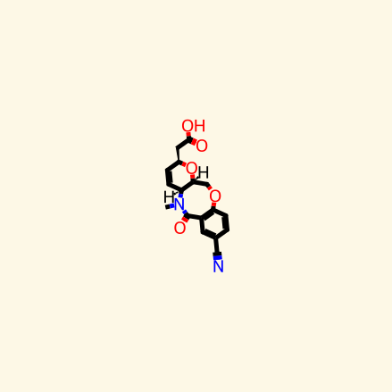 CN1C(=O)c2cc(C#N)ccc2OC[C@@H]2O[C@H](CC(=O)O)C=C[C@@H]21